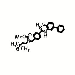 COC(=O)N(CCP(C)(C)=O)Cc1ccc(C(=O)Nc2cc(-c3ccccc3)ccc2N)cc1